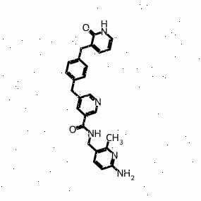 Cc1nc(N)ccc1CNC(=O)c1cncc(Cc2ccc(Cc3ccc[nH]c3=O)cc2)c1